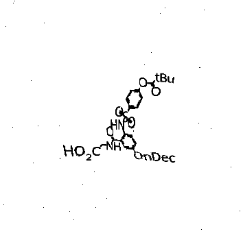 CCCCCCCCCCOc1ccc(NS(=O)(=O)c2ccc(OC(=O)C(C)(C)C)cc2)c(C(=O)NCC(=O)O)c1